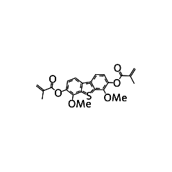 C=C(C)C(=O)Oc1ccc2c(sc3c(OC)c(OC(=O)C(=C)C)ccc32)c1OC